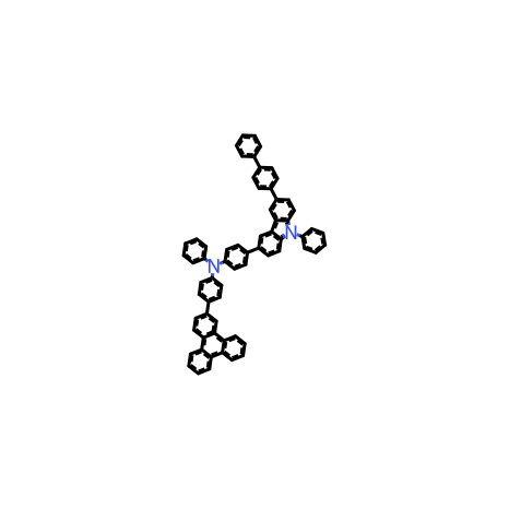 c1ccc(-c2ccc(-c3ccc4c(c3)c3cc(-c5ccc(N(c6ccccc6)c6ccc(-c7ccc8c9ccccc9c9ccccc9c8c7)cc6)cc5)ccc3n4-c3ccccc3)cc2)cc1